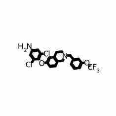 Nc1cc(Cl)c(Oc2ccc3c(c2)CCN(Cc2cccc(OC(F)(F)F)c2)C3)c(Cl)c1